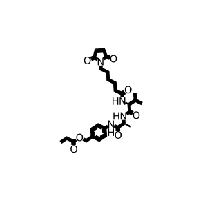 CCC(=O)OCc1ccc(NC(=O)[C@H](C)NC(=O)[C@@H](NC(=O)CCCCCN2C(=O)C=CC2=O)C(C)C)cc1